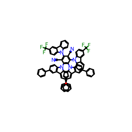 N#Cc1c(-n2c3ccccc3c3cc(C(F)(F)F)ccc32)c(C#N)c(-n2c3ccccc3c3cc(C(F)(F)F)ccc32)c(-n2c3ccc(-c4ccccc4)cc3c3cc(-c4ccccc4)ccc32)c1-n1c2ccc(-c3ccccc3)cc2c2cc(-c3ccccc3)ccc21